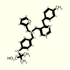 Cc1ccc(Cc2ncncc2CN(Cc2ccc(SC(C)(C)C(=O)O)cc2)Cc2ccco2)cc1